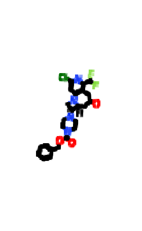 O=C1Cc2c(cc(Cl)nc2C(F)F)N2C[C@@H](N3CCN(C(=O)OCc4ccccc4)CC3)[C@@H]2C1